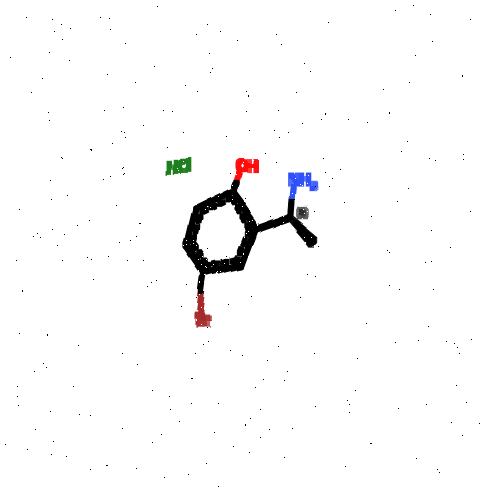 C[C@H](N)c1cc(Br)ccc1O.Cl